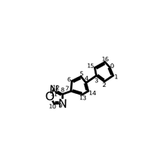 c1ccc(-c2ccc(-c3ncon3)cc2)cc1